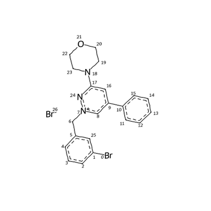 Brc1cccc(C[n+]2cc(-c3ccccc3)cc(N3CCOCC3)n2)c1.[Br-]